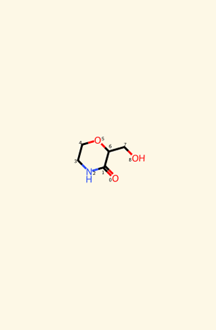 O=C1NCCOC1CO